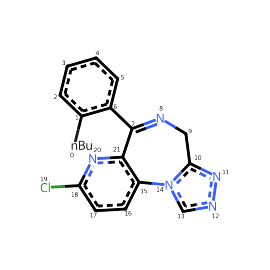 CCCCc1ccccc1C1=NCc2nncn2-c2ccc(Cl)nc21